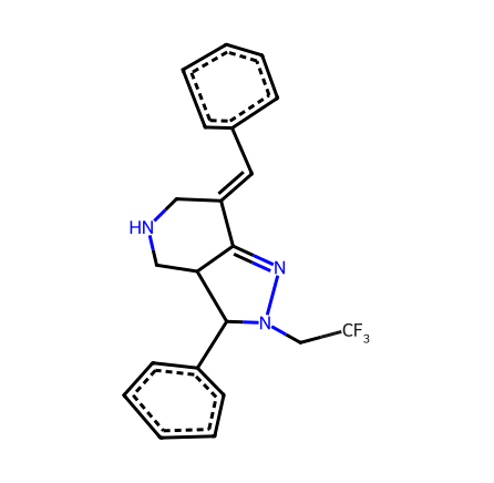 FC(F)(F)CN1N=C2/C(=C/c3ccccc3)CNCC2C1c1ccccc1